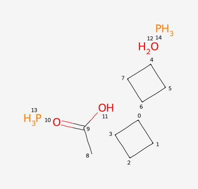 C1CCC1.C1CCC1.CC(=O)O.O.P.P